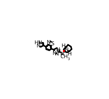 CN(c1ncc(-c2ccc(-c3cn[nH]c3)c3ncsc23)nn1)C1C[C@H]2CCC[C@@H](C1)N2C